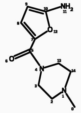 CN1CCN(C(=O)c2ccc(N)o2)CC1